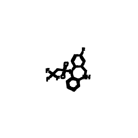 O=S(=O)(CC(F)(F)F)N1c2ccccc2NCC2C=C(F)C=CC21